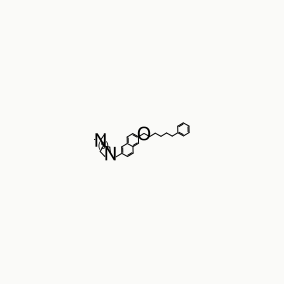 CN(C)[C@H]1CCN(Cc2ccc3cc(OCCCCCc4ccccc4)ccc3c2)C1